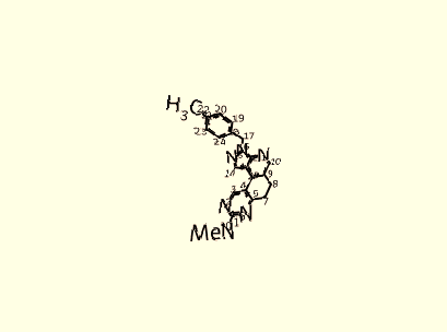 CNc1ncc2c(n1)CCc1cnc3c(cnn3Cc3ccc(C)cc3)c1-2